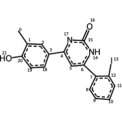 Cc1cc(-c2cc(-c3ccccc3I)[nH]c(=O)n2)ccc1O